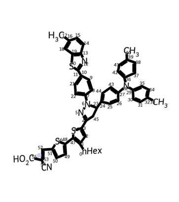 CCCCCCc1cc(C2=NN(c3ccc(-c4nc5ccc(C)cc5s4)cc3)C(c3ccc(N(c4ccc(C)cc4)c4ccc(C)cc4)cc3)C2)sc1-c1ccc(/C=C(\C#N)C(=O)O)s1